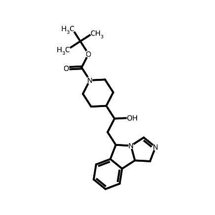 CC(C)(C)OC(=O)N1CCC(C(O)CC2c3ccccc3C3CN=CN32)CC1